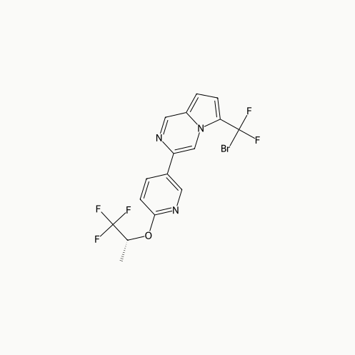 C[C@@H](Oc1ccc(-c2cn3c(C(F)(F)Br)ccc3cn2)cn1)C(F)(F)F